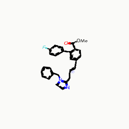 COC(=O)c1ccc(/C=C/Cc2nccn2Cc2ccccc2)cc1-c1ccc(F)cc1